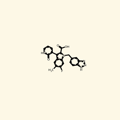 Cc1cc2c(-c3ccc[nH]c3=O)c(C(=O)O)n(Cc3ccc4[nH]nnc4c3)c2cc1F